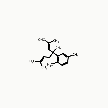 CC(C)=CCC(C)(/C=C(\C)C=O)c1cc(C)ccc1C